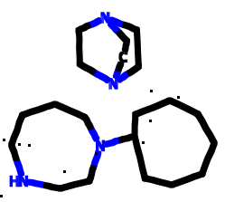 C1CCCC(N2CCCCNCC2)CCC1.C1CN2CCN1CC2